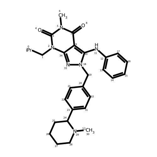 CC(C)Cn1c(=O)n(C)c(=O)c2c(Nc3ccccc3)n(Cc3ccc(C4CCCCN4[11CH3])cc3)nc21